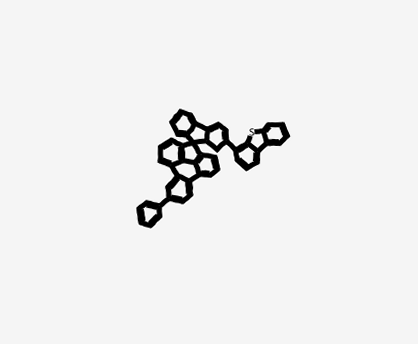 C1=C(c2cccc3c2sc2ccccc23)CC2C(=C1)c1ccccc1C21c2cccc3c4ccc(-c5ccccc5)cc4c4cccc1c4c23